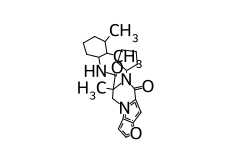 CC1CCCC(NC(=O)C2(C)Cn3c(cc4occc43)C(=O)N2C2CCCC2)C1C